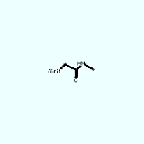 COCC(=O)NF